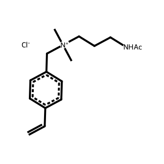 C=Cc1ccc(C[N+](C)(C)CCCNC(C)=O)cc1.[Cl-]